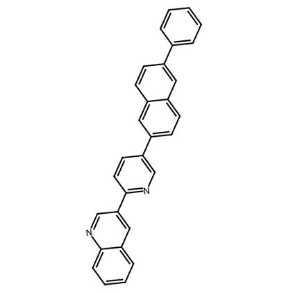 c1ccc(-c2ccc3cc(-c4ccc(-c5cnc6ccccc6c5)nc4)ccc3c2)cc1